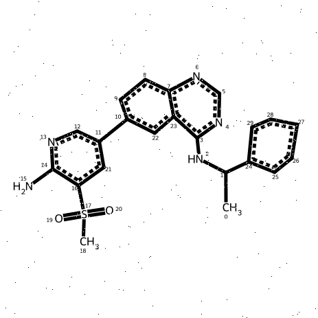 CC(Nc1ncnc2ccc(-c3cnc(N)c(S(C)(=O)=O)c3)cc12)c1ccccc1